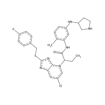 CCC(C(=O)Nc1cc(NC2CCNC2)ccc1C)n1cc(Cl)cc2nc(SCc3ccc(F)cc3)nc1-2